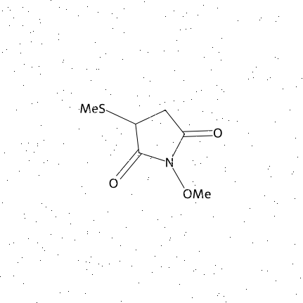 CON1C(=O)CC(SC)C1=O